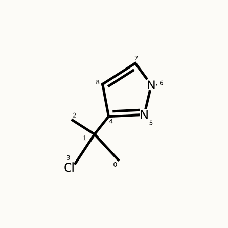 CC(C)(Cl)C1=N[N]C=C1